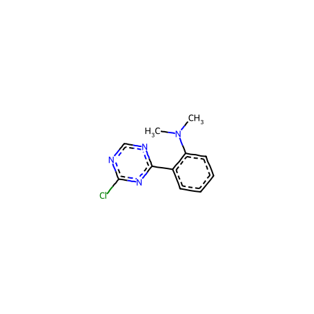 CN(C)c1ccccc1-c1ncnc(Cl)n1